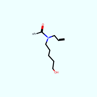 C=CCN(CCCCCO)C(=O)CCC